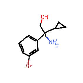 NC(CO)(c1cccc(Br)c1)C1CC1